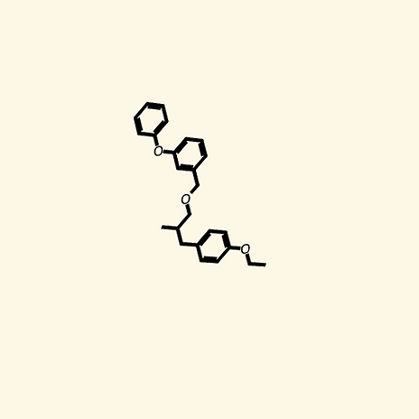 CCOc1ccc(CC(C)COCc2cccc(Oc3ccccc3)c2)cc1